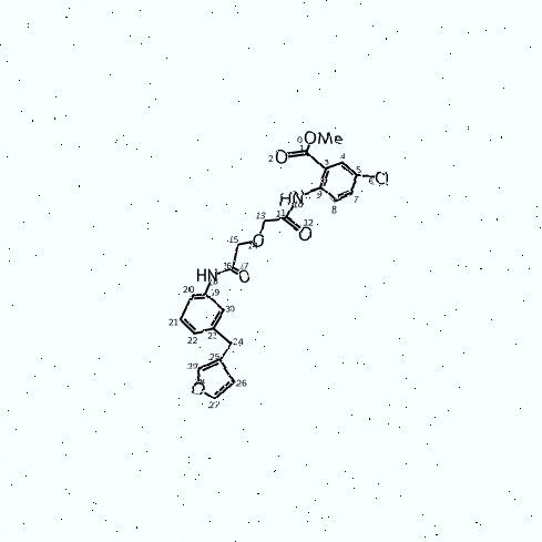 COC(=O)c1cc(Cl)ccc1NC(=O)COCC(=O)Nc1cccc(Cc2ccoc2)c1